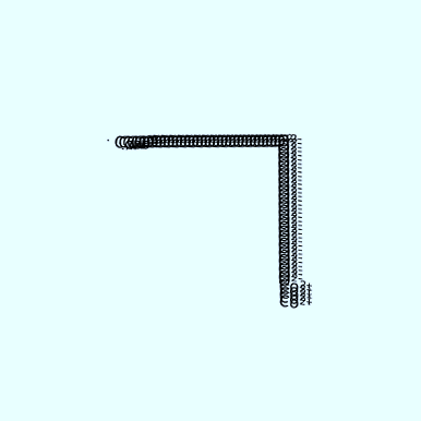 [Co+2].[Co+2].[Co+2].[Co+2].[Co+2].[Co+2].[Co+2].[Co+2].[Co+2].[Co+2].[O-2].[O-2].[O-2].[O-2].[O-2].[O-2].[O-2].[O-2].[O-2].[O-2].[O-2].[O-2].[O-2].[O-2].[O-2].[O-2].[O-2].[O-2].[O-2].[O-2].[O-2].[O-2].[O-2].[O-2].[O-2].[O-2].[O-2].[O-2].[O-2].[O-2].[O-2].[O-2].[O-2].[O-2].[O-2].[O-2].[O-2].[O-2].[O-2].[O-2].[O-2].[O-2].[O-2].[O-2].[O-2].[O-2].[O-2].[O-2].[O-2].[O-2].[O-2].[O-2].[O-2].[O-2].[O-2].[O-2].[O-2].[O-2].[O-2].[O-2].[O-2].[O-2].[O-2].[O-2].[O-2].[O-2].[O-2].[O-2].[O-2].[O-2]